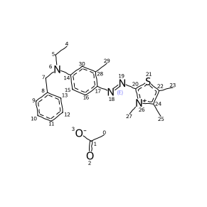 CC(=O)[O-].CCN(Cc1ccccc1)c1ccc(/N=N/c2sc(C)c(C)[n+]2C)c(C)c1